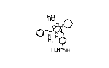 Cl.Cl.N=C(N)c1ccc(CN(NC(=O)C(N)Cc2ccccc2)C(=O)N2CCCCCC2)cc1